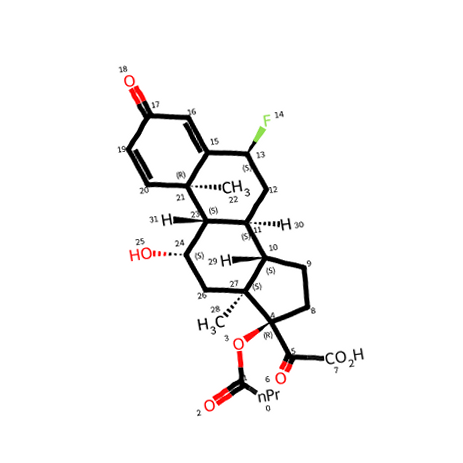 CCCC(=O)O[C@]1(C(=O)C(=O)O)CC[C@H]2[C@@H]3C[C@H](F)C4=CC(=O)C=C[C@]4(C)[C@H]3[C@@H](O)C[C@@]21C